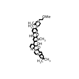 COCCN1CCN(c2ccc(Nc3cc(-c4ccnc(-n5ccn6c7c(cc6c5=O)CC(C)(C)C7)c4CO)cn(C)c3=O)nc2)C(C)(C)C1